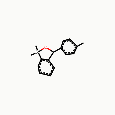 Cc1ccc(C2O[Si](C)(C)c3ccccc32)cc1